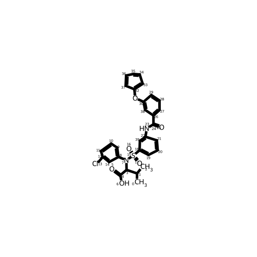 CC(C)C(C(=O)O)N(c1cccc(Cl)c1)S(=O)(=O)c1cccc(NC(=O)c2cccc(Oc3ccccc3)c2)c1